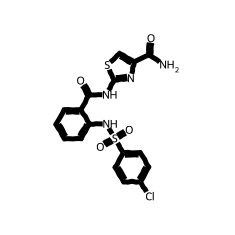 NC(=O)c1csc(NC(=O)c2ccccc2NS(=O)(=O)c2ccc(Cl)cc2)n1